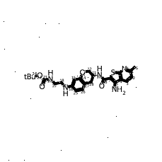 Cc1ccc2c(N)c(C(=O)N[C@H]3COc4cc(NCCNC(=O)OC(C)(C)C)ccc4C3)sc2n1